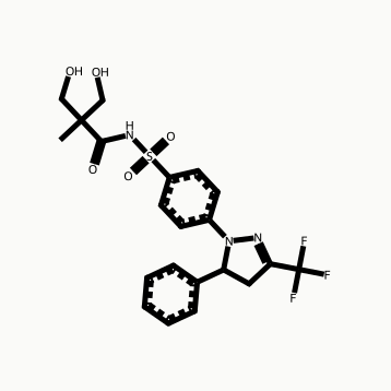 CC(CO)(CO)C(=O)NS(=O)(=O)c1ccc(N2N=C(C(F)(F)F)CC2c2ccccc2)cc1